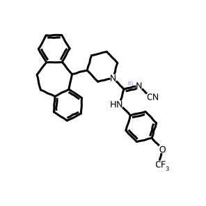 N#C/N=C(\Nc1ccc(OC(F)(F)F)cc1)N1CCCC(C2c3ccccc3CCc3ccccc32)C1